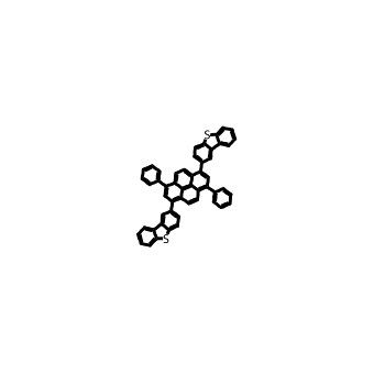 c1ccc(-c2cc(-c3ccc4sc5ccccc5c4c3)c3ccc4c(-c5ccccc5)cc(-c5ccc6sc7ccccc7c6c5)c5ccc2c3c45)cc1